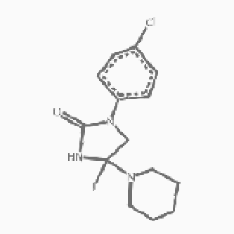 O=C1NC(I)(N2CCCCC2)CN1c1ccc(Cl)cc1